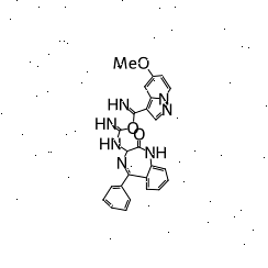 COc1ccn2ncc(C(=N)OC(=N)NC3N=C(c4ccccc4)c4ccccc4NC3=O)c2c1